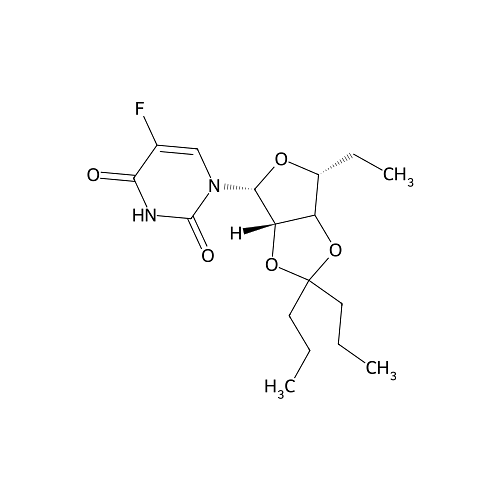 CCCC1(CCC)OC2[C@@H](CC)O[C@@H](n3cc(F)c(=O)[nH]c3=O)[C@H]2O1